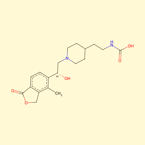 Cc1c([C@@H](O)CN2CCC(CCNC(=O)O)CC2)ccc2c1COC2=O